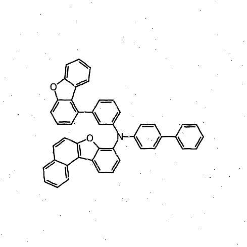 c1ccc(-c2ccc(N(c3cccc(-c4cccc5oc6ccccc6c45)c3)c3cccc4c3oc3ccc5ccccc5c34)cc2)cc1